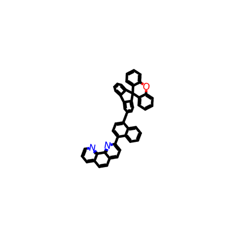 c1ccc2c(c1)Oc1ccccc1C21c2ccccc2-c2cc(-c3ccc(-c4ccc5ccc6cccnc6c5n4)c4ccccc34)ccc21